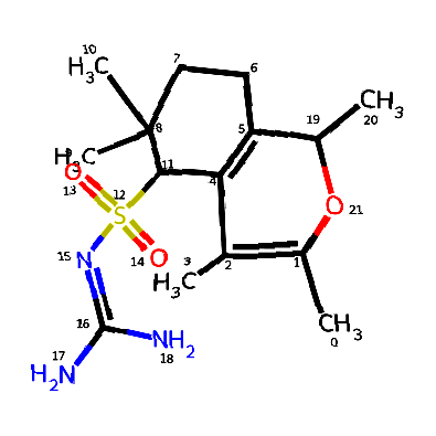 CC1=C(C)C2=C(CCC(C)(C)C2S(=O)(=O)N=C(N)N)C(C)O1